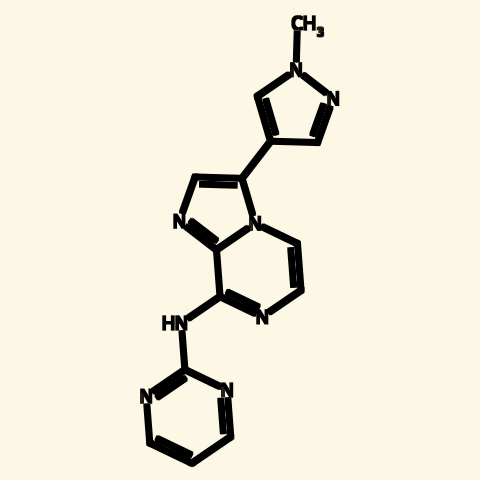 Cn1cc(-c2cnc3c(Nc4ncccn4)nccn23)cn1